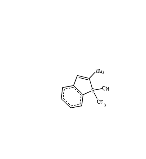 CC(C)(C)C1=Cc2ccccc2S1(C#N)C(F)(F)F